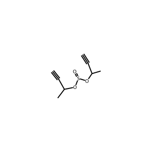 C#CC(C)OS(=O)OC(C)C#C